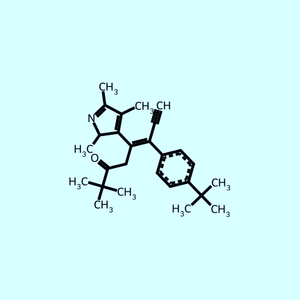 C#C/C(=C(/CC(=O)C(C)(C)C)C1=C(C)C(C)=NC1C)c1ccc(C(C)(C)C)cc1